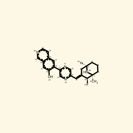 C[C@]12CCC[C@H](C/C(=C\c3cnc(-c4cc5ccncc5cc4O)cn3)[C@@H]1F)N2